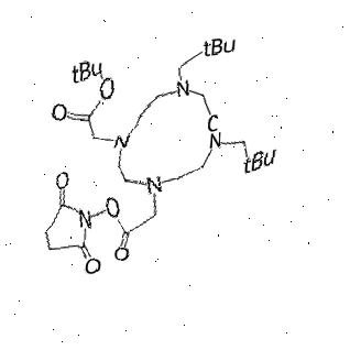 CC(C)(C)CN1CCN(CC(=O)ON2C(=O)CCC2=O)CCN(CC(=O)OC(C)(C)C)CCN(CC(C)(C)C)CC1